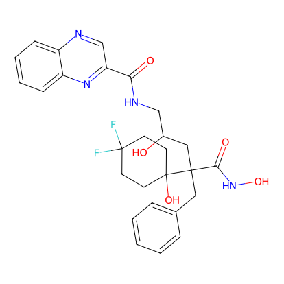 O=C(NCC(O)CC(Cc1ccccc1)(C(=O)NO)C1(O)CCC(F)(F)CC1)c1cnc2ccccc2n1